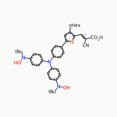 CCCCCCc1cc(-c2ccc(N(c3ccc(N(O)C(C)(C)C)cc3)c3ccc(N(O)C(C)(C)C)cc3)cc2)sc1/C=C(\C#N)C(=O)O